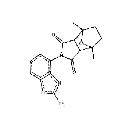 CC12CCC(C)(O1)C1C(=O)N(c3cccc4oc(C(F)(F)F)nc34)C(=O)C12